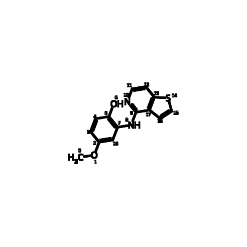 COc1ccc(O)c(Nc2nccc3sccc23)c1